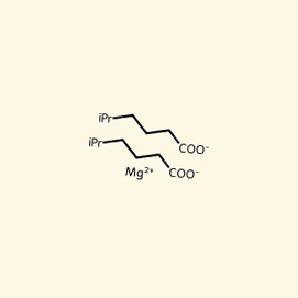 CC(C)CCCC(=O)[O-].CC(C)CCCC(=O)[O-].[Mg+2]